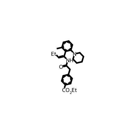 CCC=C(NC(=O)Cc1ccc(C(=O)OCC)cc1)c1c(C)cccc1N1CCCCC1